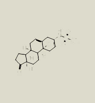 C[C@]12CC[C@H](NS(=O)(=O)C(F)(F)F)CC1=CC[C@@H]1[C@@H]2CC[C@]2(C)C(=O)CC[C@@H]12